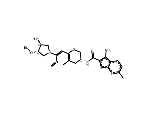 C=N/C(=C\C1=C(C)C[C@@H](NC(=O)c2sc3nc(C)ccc3c2N)CO1)N1C[C@H](OCC)[C@@H](N)C1